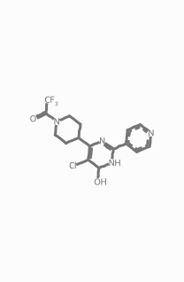 O=C(N1CCC(C2=C(Cl)C(O)NC(c3ccncc3)=N2)CC1)C(F)(F)F